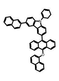 C1=CCCC(n2c3ccc(-c4ccc5ccccc5c4)cc3c3cc(-c4c5ccccc5c(Oc5cccc6ccccc56)c5ccccc45)ccc32)=C1